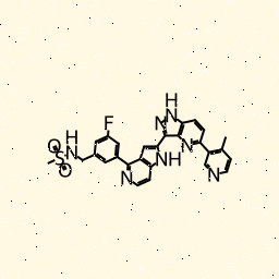 Cc1ccncc1-c1ccc2[nH]nc(-c3cc4c(-c5cc(F)cc(CNS(C)(=O)=O)c5)nccc4[nH]3)c2n1